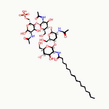 CCCCCCCCCCCCCCCC(=O)N[C@H]1C(O)[C@H](O)[C@@H](CO)O[C@H]1O[C@H]1C[C@@H](NC(C)=O)[C@H](O[C@H]2C(O)[C@H](NC(C)=O)[C@H](O[C@H]3C(O)[C@@H](NC(C)=O)C(O)O[C@@H]3COS(=O)(=O)O)O[C@@H]2CO)O[C@@H]1CO